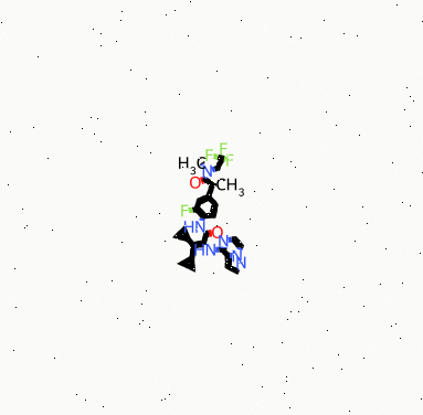 C[C@H](C(=O)N(C)CC(F)(F)F)c1ccc(NC(=O)C(Nc2nccn3nccc23)=C(C2CC2)C2CC2)c(F)c1